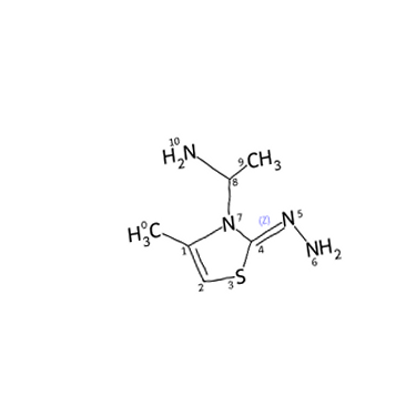 Cc1cs/c(=N\N)n1C(C)N